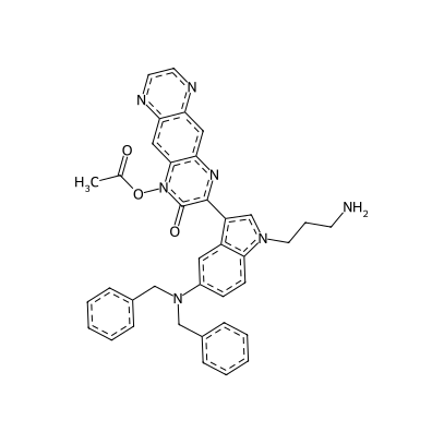 CC(=O)On1c(=O)c(-c2cn(CCCN)c3ccc(N(Cc4ccccc4)Cc4ccccc4)cc23)nc2cc3nccnc3cc21